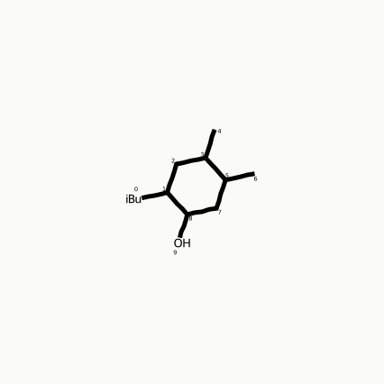 CCC(C)C1CC(C)C(C)CC1O